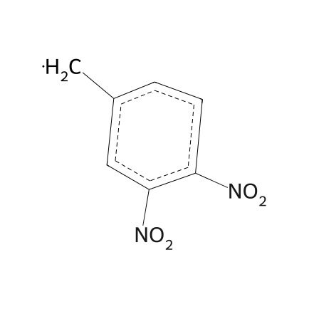 [CH2]c1ccc([N+](=O)[O-])c([N+](=O)[O-])c1